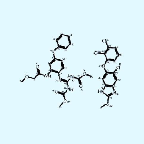 COCC(=O)Nc1cc(Sc2ccccc2)ccc1N=C(NC(=O)OC)NC(=O)OC.CSc1nc2cc(Cl)c(Oc3cccc(Cl)c3Cl)cc2[nH]1